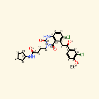 CCOc1ccc(C(=O)Cc2c(Cl)ccc3[nH]c(=O)n(CCCC(=O)NC4CCCC4)c(=O)c23)cc1Cl